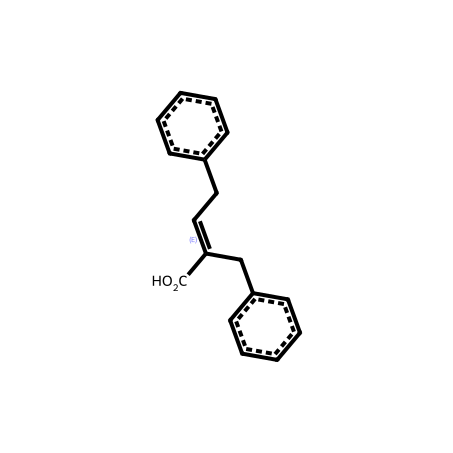 O=C(O)/C(=C/Cc1ccccc1)Cc1ccccc1